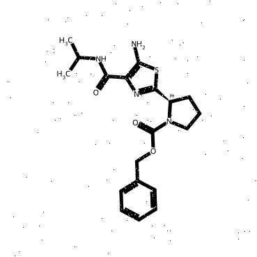 CC(C)NC(=O)c1nc([C@H]2CCCN2C(=O)OCc2ccccc2)sc1N